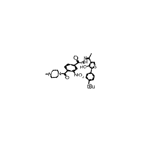 CC(=NNC(=O)c1ccc(C(=O)N2CCN(C)CC2)c([N+](=O)[O-])c1)c1csc(-c2ccc(C(C)(C)C)cc2)c1O